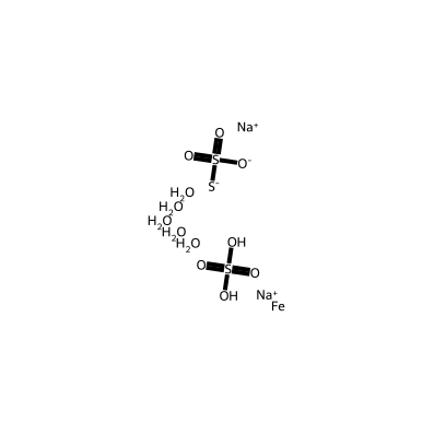 O.O.O.O.O.O=S(=O)(O)O.O=S(=O)([O-])[S-].[Fe].[Na+].[Na+]